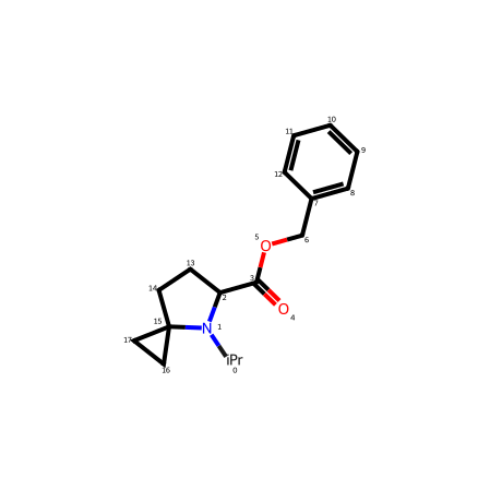 CC(C)N1C(C(=O)OCc2ccccc2)CCC12CC2